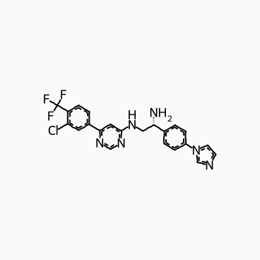 N[C@@H](CNc1cc(-c2ccc(C(F)(F)F)c(Cl)c2)ncn1)c1ccc(-n2ccnc2)cc1